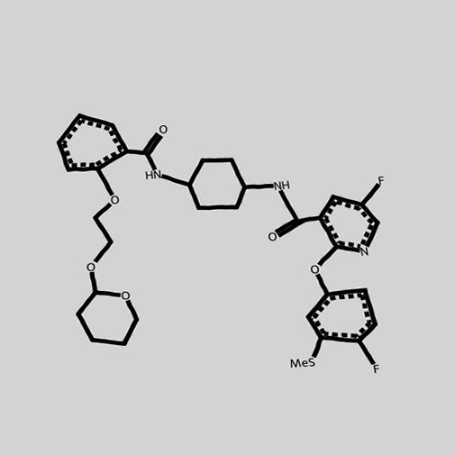 CSc1cc(Oc2ncc(F)cc2C(=O)NC2CCC(NC(=O)c3ccccc3OCCOC3CCCCO3)CC2)ccc1F